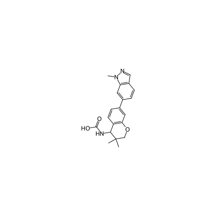 Cn1ncc2ccc(-c3ccc4c(c3)OCC(C)(C)C4NC(=O)O)cc21